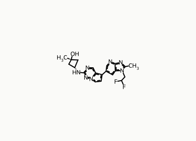 Cc1nc2ncc(-c3ccn4nc(N[C@H]5C[C@@](C)(O)C5)ncc34)cc2n1CC(F)F